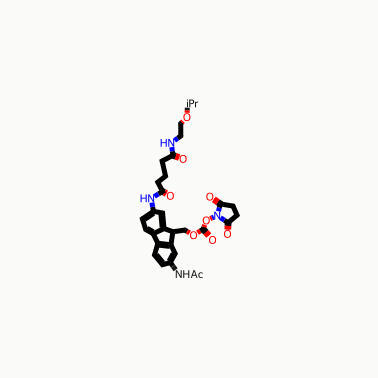 CC(=O)Nc1ccc2c(c1)C(COC(=O)ON1C(=O)CCC1=O)c1cc(NC(=O)CCCC(=O)NCCOC(C)C)ccc1-2